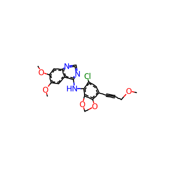 COCC#Cc1cc(Cl)c(Nc2ncnc3cc(OC)c(OC)cc23)c2c1OCO2